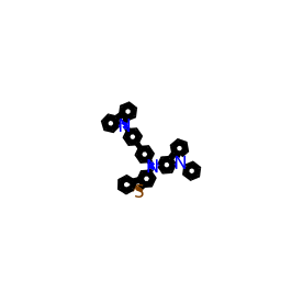 c1ccc(-n2c3ccccc3c3cc(N(c4ccc(-c5ccc(-n6c7ccccc7c7ccccc76)cc5)cc4)c4ccc5sc6ccccc6c5c4)ccc32)cc1